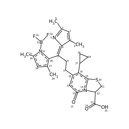 CC1=CC(C)=N/C1=C(/CCc1cc(=O)n2c(c1C1CC1)SCC2C(=O)O)c1c(C)cc(C)n1B(F)F